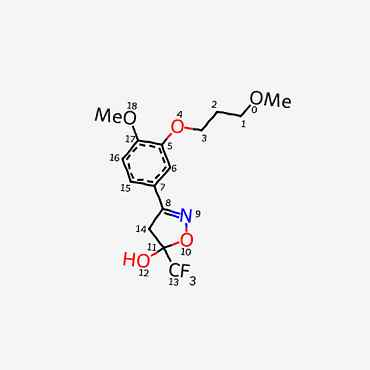 COCCCOc1cc(C2=NOC(O)(C(F)(F)F)C2)ccc1OC